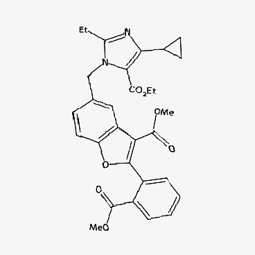 CCOC(=O)c1c(C2CC2)nc(CC)n1Cc1ccc2oc(-c3ccccc3C(=O)OC)c(C(=O)OC)c2c1